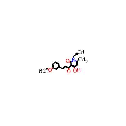 C#CCn1c(C)cc(O)c(C(=O)C=Cc2cccc(OCC#N)c2)c1=O